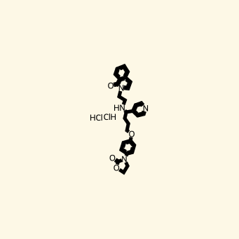 Cl.Cl.O=C1OCCN1c1ccc(OCCCC(NCCn2ccc3ccccc3c2=O)c2ccncc2)cc1